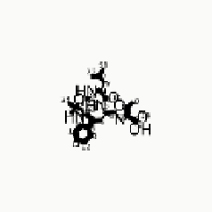 Cc1oc([C@@H](Cc2c[nH]c3ccccc23)NC(=O)[C@H](CC(C)C)NC(=O)OC(C)(C)C)nc1C(=O)O